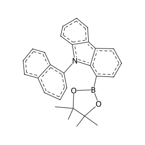 CC1(C)OB(c2cccc3c4ccccc4n(-c4cccc5ccccc45)c23)OC1(C)C